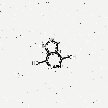 Oc1nnc(O)c2[nH]ncc12